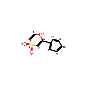 O=S1(=O)C=COC(c2ccccc2)=C1